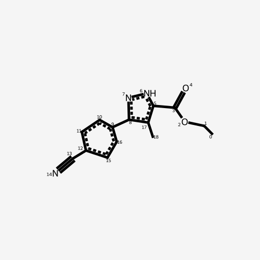 CCOC(=O)c1[nH]nc(-c2ccc(C#N)cc2)c1C